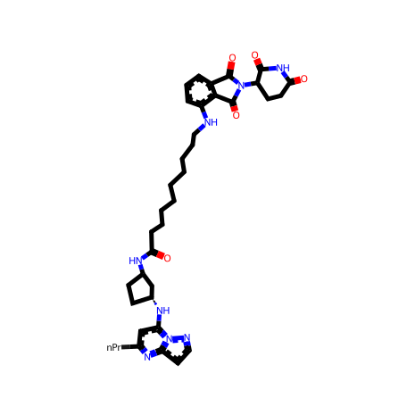 CCCc1cc(N[C@@H]2CCC(NC(=O)CCCCCCCCCNc3cccc4c3C(=O)N(C3CCC(=O)NC3=O)C4=O)C2)n2nccc2n1